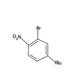 CC(C)(C)c1ccc([N+](=O)[O-])c(Br)c1